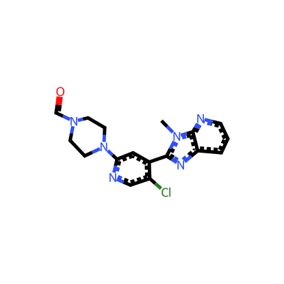 Cn1c(-c2cc(N3CCN(C=O)CC3)ncc2Cl)nc2cccnc21